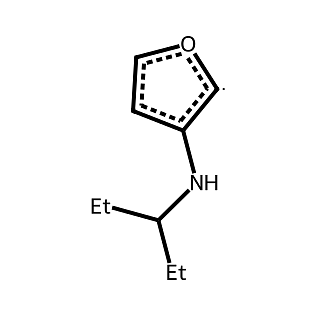 CCC(CC)Nc1[c]occ1